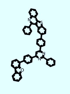 c1ccc(-c2nc(-c3ccc(-c4ccc5sc6c7ccccc7nc(-c7ccccc7)c6c5c4)cc3)cc(-c3ccc(-c4cccc5c4oc4ccccc45)cc3)n2)cc1